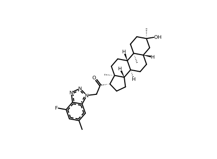 Cc1cc(F)c2nnn(CC(=O)[C@H]3CC[C@H]4[C@@H]5CC[C@H]6C[C@](C)(O)CC[C@]6(C)[C@H]5CC[C@]34C)c2c1